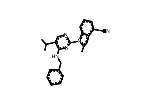 Cc1cc2c(C#N)cccc2n1-c1ncc(C(C)C)c(NCc2ccccc2)n1